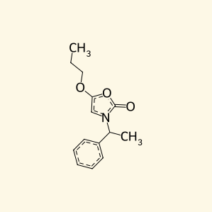 CCCOc1cn(C(C)c2ccccc2)c(=O)o1